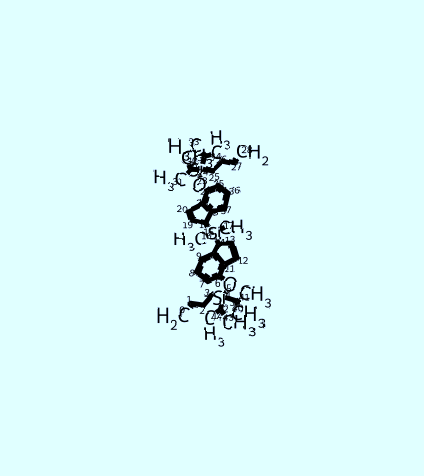 C=CCC[Si](Oc1cccc2c1C=CC2[Si](C)(C)C1C=Cc2c(O[Si](CCC=C)(C(C)C)C(C)C)cccc21)(C(C)C)C(C)C